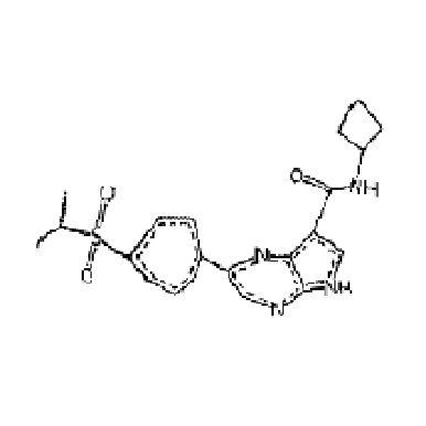 CC(C)S(=O)(=O)c1ccc(-c2cnc3[nH]cc(C(=O)NC4CCC4)c3n2)cc1